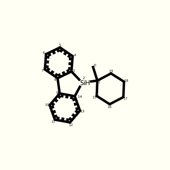 CC1([SiH]2c3ccccc3-c3ccccc32)CCCCC1